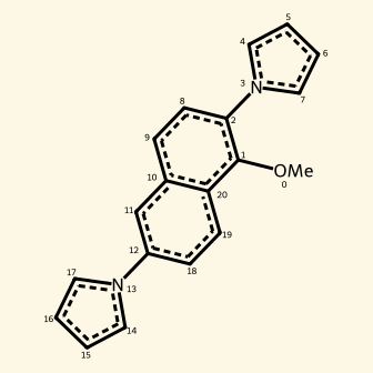 COc1c(-n2cccc2)ccc2cc(-n3cccc3)ccc12